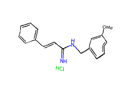 COc1cccc(CNC(=N)C=Cc2ccccc2)c1.Cl